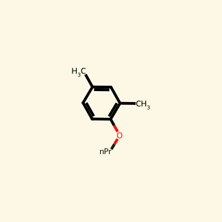 [CH2]CCOc1ccc(C)cc1C